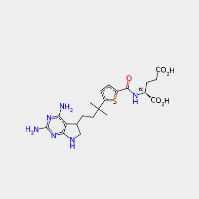 CC(C)(CCC1CNc2nc(N)nc(N)c21)c1ccc(C(=O)N[C@@H](CCC(=O)O)C(=O)O)s1